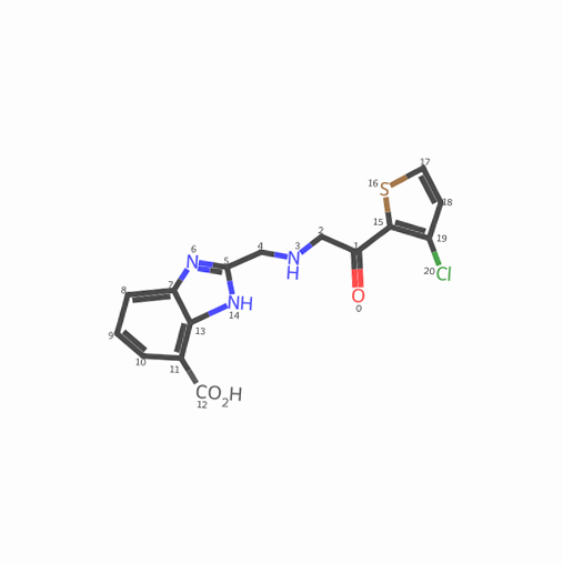 O=C(CNCc1nc2cccc(C(=O)O)c2[nH]1)c1sccc1Cl